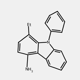 CCc1ccc(N)c2c3ccccc3n(-c3ccccc3)c12